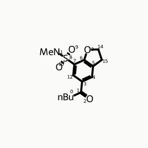 CCCCC(=O)c1cc2c(c(S(=O)(=O)NC)c1)OCC2